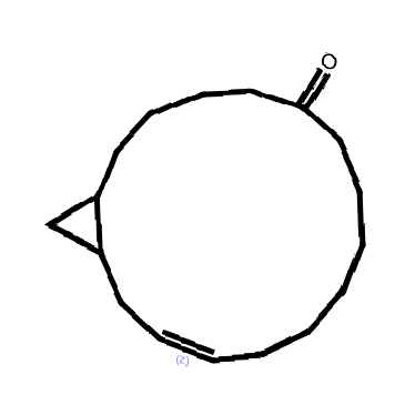 O=C1CCCCCC/C=C\CC2CC2CCCC1